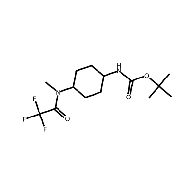 CN(C(=O)C(F)(F)F)C1CCC(NC(=O)OC(C)(C)C)CC1